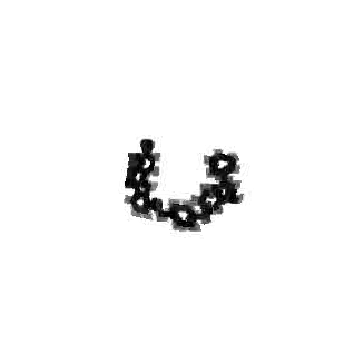 CN1C=C(c2ccccc2)N2CCN(Cc3ccc(COc4cccc5c4CN(C4CCC(=O)NC4=O)C5=O)cc3)CC12